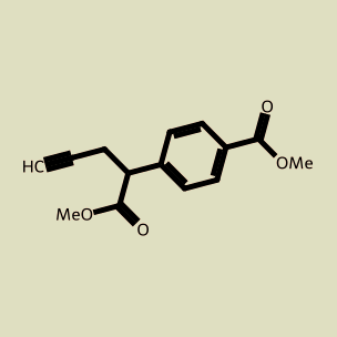 C#CCC(C(=O)OC)c1ccc(C(=O)OC)cc1